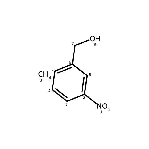 C.O=[N+]([O-])c1cccc(CO)c1